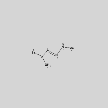 CCC(N)/C=N/NC(C)=O